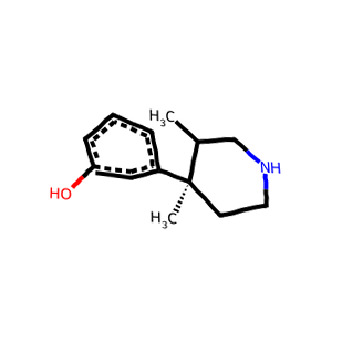 CC1CNCC[C@@]1(C)c1cccc(O)c1